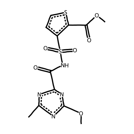 COC(=O)c1sccc1S(=O)(=O)NC(=O)c1nc(C)nc(OC)n1